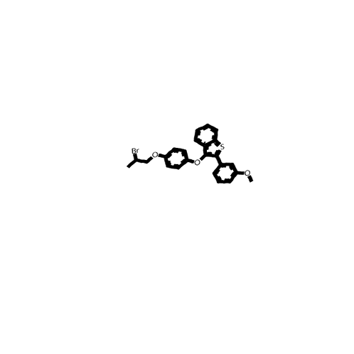 COc1cccc(-c2sc3ccccc3c2Oc2ccc(OCC(C)Br)cc2)c1